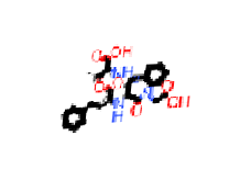 C[C@@H](OC(=O)[C@H](CCc1ccccc1)N[C@@H]1CCc2ccccc2N(CC(=O)O)C1=O)[C@H](N)C(=O)O